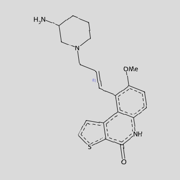 COc1ccc2[nH]c(=O)c3sccc3c2c1/C=C/CN1CCCC(N)C1